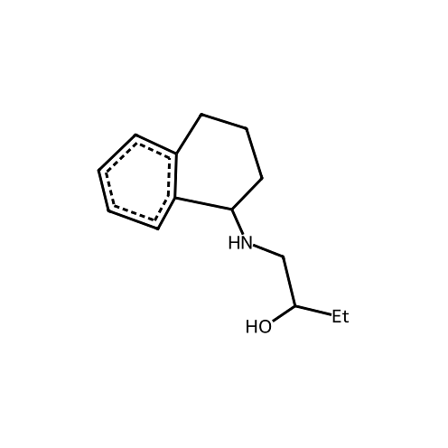 CCC(O)CNC1CCCc2ccccc21